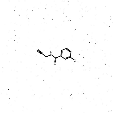 C#CCNC(=O)c1cccc(Cl)c1